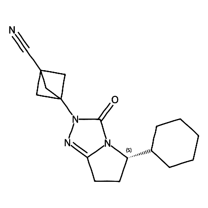 N#CC12CC(n3nc4n(c3=O)[C@H](C3CCCCC3)CC4)(C1)C2